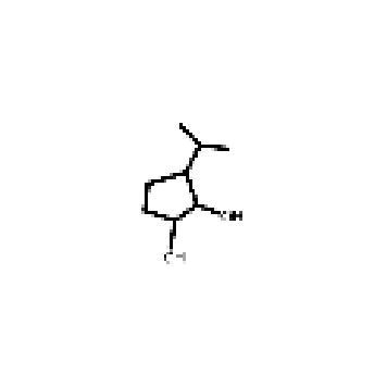 CC(C)C1CCC(O)C1O